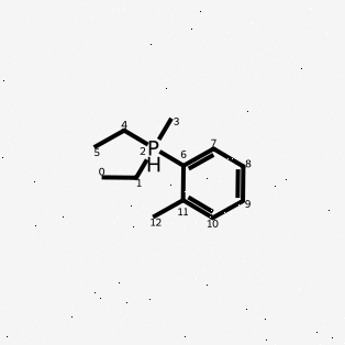 CC[PH](C)(CC)c1ccccc1C